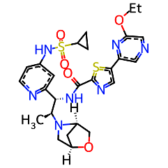 CCOc1cncc(-c2cnc(C(=O)N[C@@H](c3cc(NS(=O)(=O)C4CC4)ccn3)[C@H](C)N3C[C@H]4C[C@@H]3CO4)s2)n1